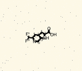 O=C(O)c1cc2cc(C(F)F)ncc2[nH]1